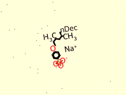 CCCCCCCCCCCC(C)CC(C)CCOc1ccc(S(=O)(=O)[O-])cc1.[Na+]